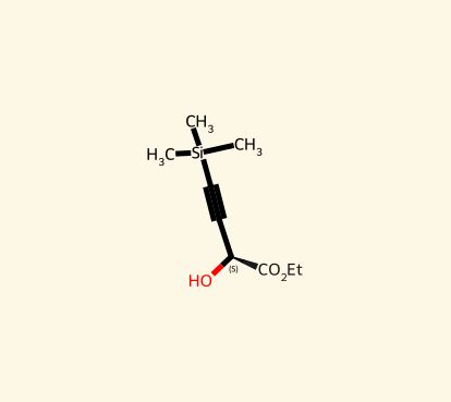 CCOC(=O)[C@@H](O)C#C[Si](C)(C)C